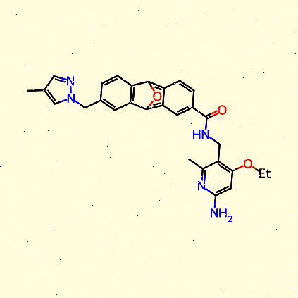 CCOc1cc(N)nc(C)c1CNC(=O)c1ccc2c(c1)c1oc2c2ccc(Cn3cc(C)cn3)cc21